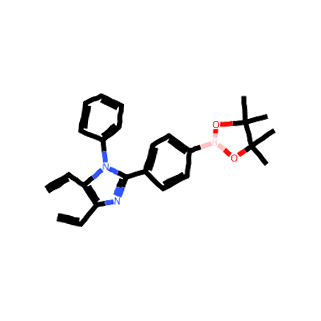 C=Cc1nc(-c2ccc(B3OC(C)(C)C(C)(C)O3)cc2)n(-c2ccccc2)c1C=C